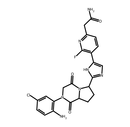 NC(=O)Cc1ccc(-c2cnc(C3CCC4C(=O)N(c5cc(Cl)ccc5N)CC(=O)N43)[nH]2)c(F)n1